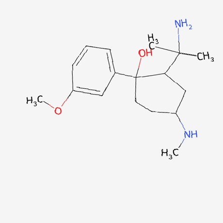 CNC1CCC(O)(c2cccc(OC)c2)C(C(C)(C)N)C1